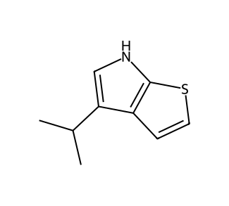 CC(C)c1c[nH]c2sccc12